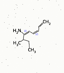 C=C/C=C\C=C(\N)C(C)CC